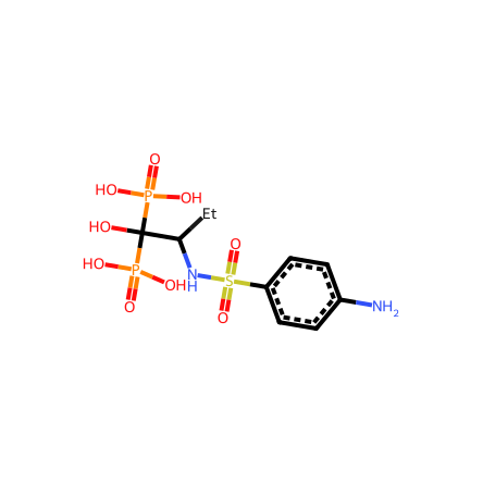 CCC(NS(=O)(=O)c1ccc(N)cc1)C(O)(P(=O)(O)O)P(=O)(O)O